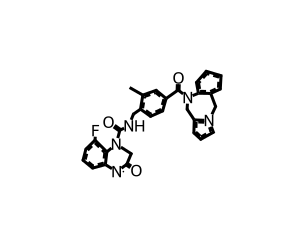 Cc1cc(C(=O)N2Cc3cccn3Cc3ccccc32)ccc1CNC(=O)N1CC(=O)[N]c2cccc(F)c21